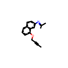 CC#CCOc1cccc2ccc(N=C(C)C)cc12